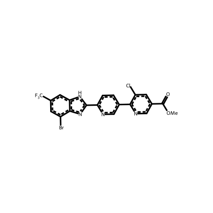 COC(=O)c1cnc(-c2ccc(-c3nc4c(Br)cc(C(F)(F)F)cc4[nH]3)nc2)c(Cl)c1